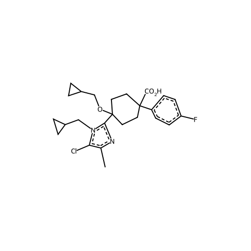 Cc1nc(C2(OCC3CC3)CCC(C(=O)O)(c3ccc(F)cc3)CC2)n(CC2CC2)c1Cl